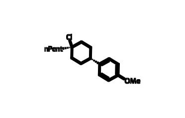 CCCCC[C@]1(Cl)CC[C@H](c2ccc(OC)cc2)CC1